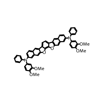 COc1ccc(N(c2ccccc2)c2ccc3cc4c(cc3c2)oc2c4ccc3c4cc5ccc(N(c6ccccc6)c6ccc(OC)c(OC)c6)cc5cc4oc32)cc1OC